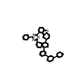 c1ccc(-c2cccc(-c3cccc(-c4ccc(-c5ccc6sc7cccc(-c8nc(-c9ccccc9)nc(-c9ccccc9)n8)c7c6c5)cc4)c3)c2)cc1